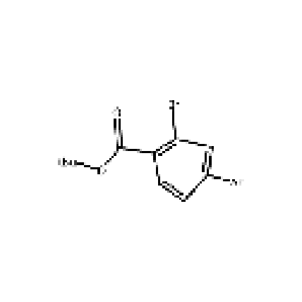 CC(=O)c1ccc(C(=O)OC(C)(C)C)c(Br)c1